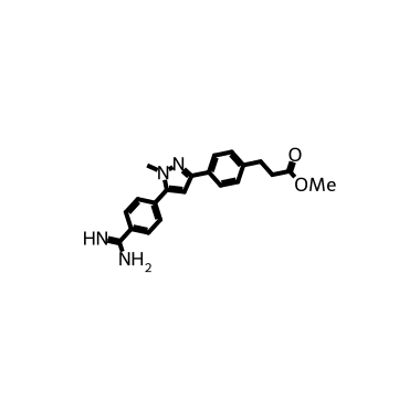 COC(=O)CCc1ccc(-c2cc(-c3ccc(C(=N)N)cc3)n(C)n2)cc1